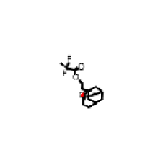 CC(F)(F)C(=O)OCCC12CC3CC(C1)C(=O)C(C3)C2